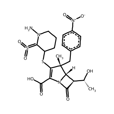 C[C@@H](O)[C@H]1C(=O)N2C(C(=O)O)=C(SC3CCCN(N)C3=S(=O)=O)[C@](C)(Cc3ccc([N+](=O)[O-])cc3)[C@H]12